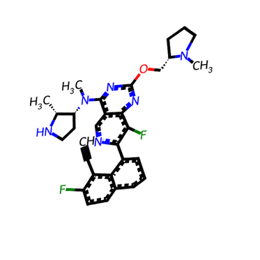 C#Cc1c(F)ccc2cccc(-c3ncc4c(N(C)[C@@H]5CCN[C@@H]5C)nc(OC[C@@H]5CCCN5C)nc4c3F)c12